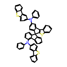 c1ccc(N(c2ccc3c(c2)-c2c(sc4ccccc24)C32c3ccccc3-c3c(N(c4ccccc4)c4ccc5sc6ccccc6c5c4)cccc32)c2ccc3sc4ccccc4c3c2)cc1